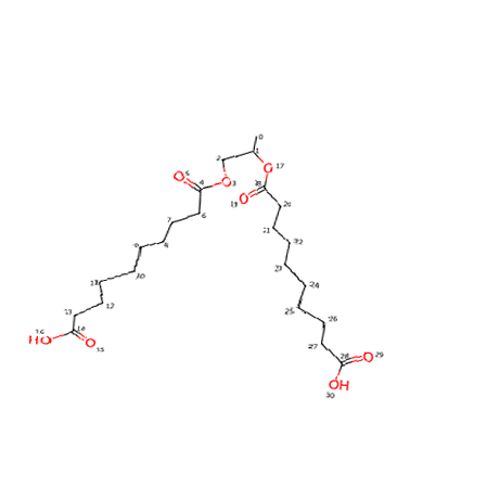 CC(COC(=O)CCCCCCCCC(=O)O)OC(=O)CCCCCCCCC(=O)O